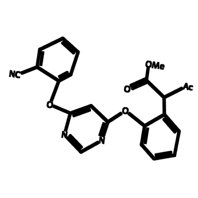 COC(=O)C(C(C)=O)c1ccccc1Oc1cc(Oc2ccccc2C#N)ncn1